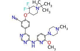 COc1nc(Nc2cc(-c3ccc(OC4CCN(C(C)(C)C)CC4(F)F)c(C#N)c3)ncn2)ccc1N1CCN(C)CC1